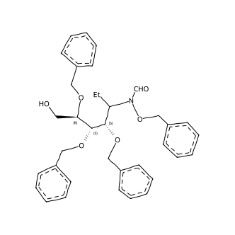 CCC([C@H](OCc1ccccc1)[C@H](OCc1ccccc1)[C@@H](CO)OCc1ccccc1)N(C=O)OCc1ccccc1